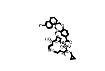 C=CC[C@H](C)[C@@H](CC1CC1)S(=O)(=O)NC(=O)c1ccc2c(c1)N(C[C@@H]1CC[C@H]1[C@@H](O)C=CCCC)C[C@]1(CCCc3cc(Cl)ccc31)CO2